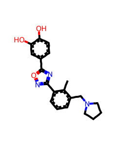 Cc1c(CN2CCCC2)cccc1-c1noc(-c2ccc(O)c(O)c2)n1